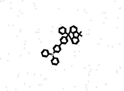 CC1(C)c2cccc3c2-c2c1cccc2C3(c1ccccc1)c1ccc(-c2ccc(N(c3ccccc3)c3ccccc3)cc2)cc1